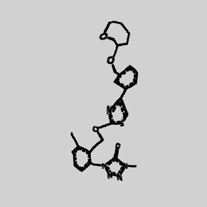 Cc1cccc(-n2nnn(C)c2=O)c1COc1nc(-c2cccc(OC3CCCCO3)c2)cs1